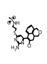 CS(=O)(=O)NCCSc1cc(C2=C(Cl)CC3COCc4cccc2c43)nc(N)n1